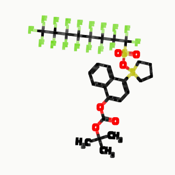 CC(C)(C)OC(=O)Oc1ccc(S2(OS(=O)(=O)C(F)(F)C(F)(F)C(F)(F)C(F)(F)C(F)(F)C(F)(F)C(F)(F)C(F)(F)F)CCCC2)c2ccccc12